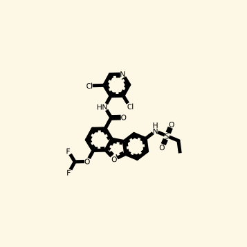 CCS(=O)(=O)Nc1ccc2oc3c(OC(F)F)ccc(C(=O)Nc4c(Cl)cncc4Cl)c3c2c1